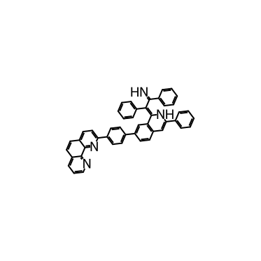 N=C(/C(=C1\NC(c2ccccc2)=Cc2ccc(-c3ccc(-c4ccc5ccc6cccnc6c5n4)cc3)cc21)c1ccccc1)c1ccccc1